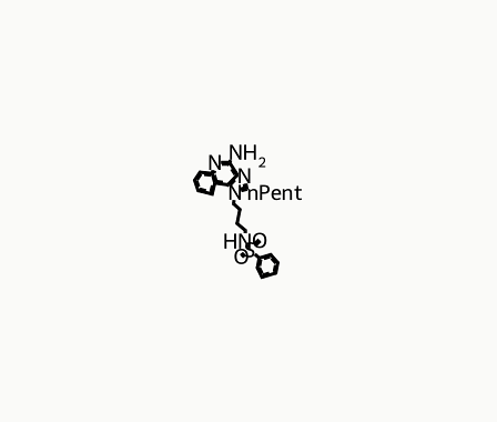 CCCCCc1nc2c(N)nc3ccccc3c2n1CCCCNS(=O)(=O)c1ccccc1